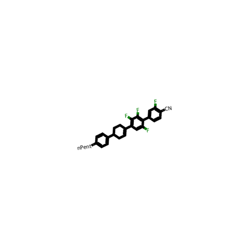 CCCCCc1ccc(C2CC=C(c3cc(F)c(-c4ccc(C#N)c(F)c4)c(F)c3F)CC2)cc1